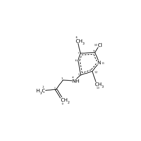 C=C(C)CNc1cc(C)c(Cl)nc1C